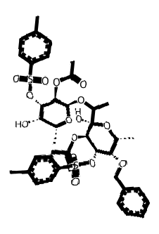 CC(=O)O[C@H]1[C@@H](OC(C)[C@@]2(O)O[C@H](C)[C@H](OCc3ccccc3)[C@H](OS(=O)(=O)c3ccc(C)cc3)[C@H]2OC(C)=O)O[C@H](C)[C@H](O)[C@@H]1OS(=O)(=O)c1ccc(C)cc1